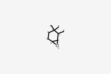 CC1C2OC2CCC1(C)C